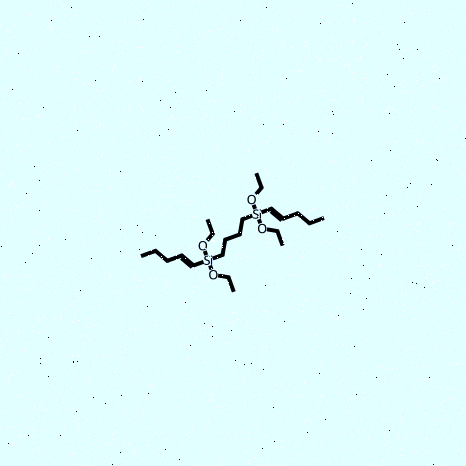 CCCC=C[Si](CCCC[Si](C=CCCC)(OCC)OCC)(OCC)OCC